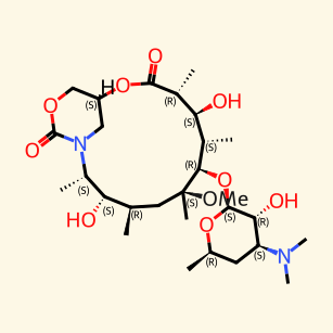 CO[C@@]1(C)C[C@@H](C)[C@H](O)[C@H](C)N2C[C@@H](COC2=O)OC(=O)[C@H](C)[C@@H](O)[C@H](C)[C@H]1O[C@@H]1O[C@H](C)C[C@H](N(C)C)[C@H]1O